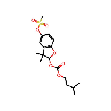 CC(C)CCOC(=O)OC1Oc2ccc(OS(C)(=O)=O)cc2C1(C)C